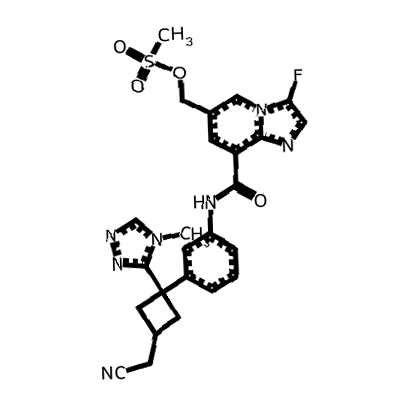 Cn1cnnc1C1(c2cccc(NC(=O)c3cc(COS(C)(=O)=O)cn4c(F)cnc34)c2)CC(CC#N)C1